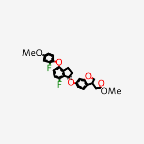 COC(=O)CC1COc2cc(O[C@@H]3CCc4c(Oc5ccc(OC)cc5F)ccc(F)c43)ccc21